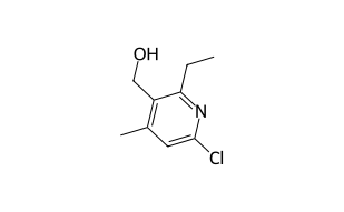 CCc1nc(Cl)cc(C)c1CO